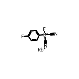 N#C[B-](F)(C#N)c1ccc(F)cc1.[Rb+]